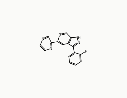 Fc1ccccc1-c1n[nH]c2cnc(-c3cnccn3)cc12